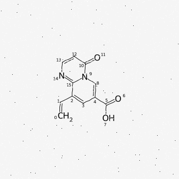 C=Cc1cc(C(=O)O)cn2c(=O)ccnc12